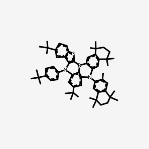 Cc1cc2c(cc1N1c3cc4c(cc3B3c5sc6ccc(C(C)(C)C)cc6c5N(c5ccc(C(C)(C)C)cc5)c5cc(C(C)(C)C)cc1c53)C(C)(C)CCC4(C)C)C(C)(C)CCC2(C)C